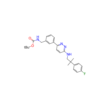 CC(C)(C)OC(=O)NCc1cccc(-c2ccc(NCC(C)(C)c3ccc(F)cc3)nn2)c1